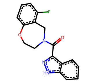 O=C(c1n[nH]c2ccccc12)N1CCOc2cccc(F)c2C1